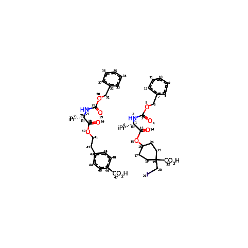 CC(C)[C@H](NC(=O)OCc1ccccc1)C(=O)OC1CCC(CI)(C(=O)O)CC1.CC(C)[C@H](NC(=O)OCc1ccccc1)C(=O)OCCc1ccc(C(=O)O)cc1